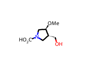 CO[C@@H]1CN(C(=O)O)C[C@H]1CO